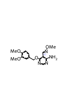 CO/N=C/c1c(N)ncnc1OCc1ccc(OC)c(OC)c1